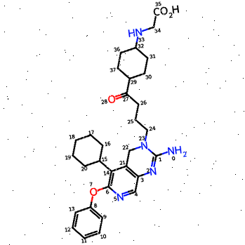 NC1=Nc2cnc(Oc3ccccc3)c(C3CCCCC3)c2CN1CCCC(=O)C1CCC(NCC(=O)O)CC1